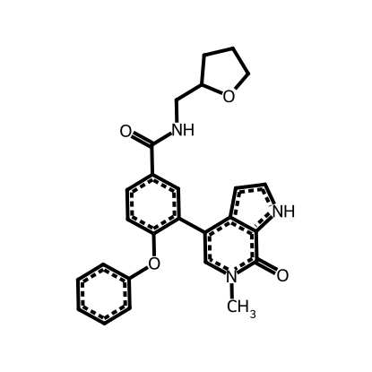 Cn1cc(-c2cc(C(=O)NCC3CCCO3)ccc2Oc2ccccc2)c2cc[nH]c2c1=O